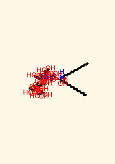 CCCCCCCCCCCCC/C=C/[C@@H](O)[C@H](CO[C@@H]1OC(CO)[C@@H](O[C@@H]2OC(CO)[C@H](O)[C@H](O[C@@H]3OC(CO)[C@@H](O[C@@H]4OC(CO)[C@H](O)[C@H](O[C@H]5OC(CO)[C@H](O)[C@H](O)C5O)C4O[C@H]4OC(C)[C@@H](O)C(O)[C@@H]4O)[C@H](O)C3NC(C)=O)C2O)[C@H](O)C1O)NC(=O)CCCCCCCCCCCCCCC